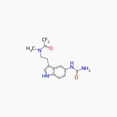 CN(CCc1c[nH]c2ccc(NC(N)=O)cc12)C(=O)C(F)(F)F